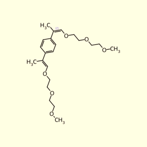 COCCOCCOC=C(C)c1ccc(/C(C)=C\OCCOCCOC)cc1